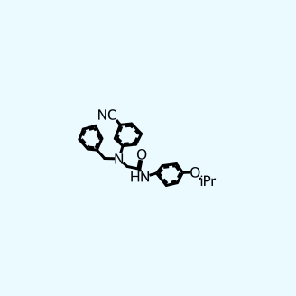 CC(C)Oc1ccc(NC(=O)CN(Cc2ccccc2)c2cccc(C#N)c2)cc1